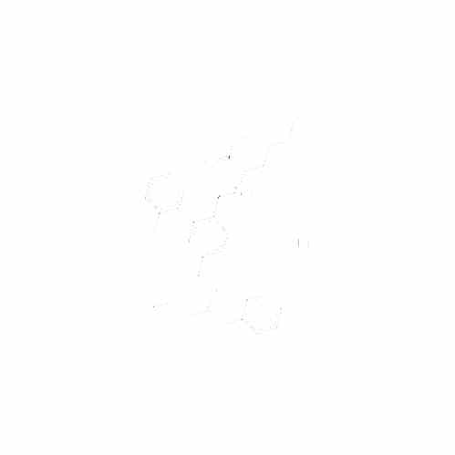 CCCCC(Cc1ccccc1Cl)OCc1ccc(C(=O)NC(CCSC)C(=O)O)c(-c2ccccc2C)c1.[LiH]